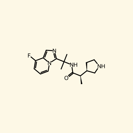 C[C@@H](C(=O)NC(C)(C)c1ncc2c(F)cccn12)[C@H]1CCNC1